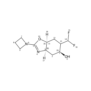 O[C@H]1C[C@H]2N=C(N3CCC3)O[C@H]2CC1C(F)F